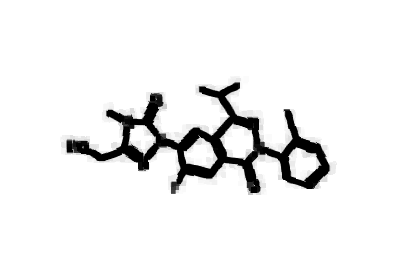 Cc1ccccc1-n1nc(C(C)C)c2cc(-n3nc(CO)n(C)c3=O)c(F)cc2c1=O